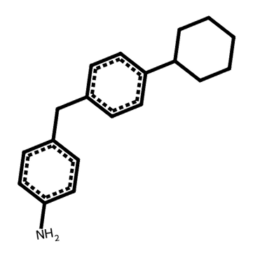 Nc1ccc(Cc2ccc(C3CCCCC3)cc2)cc1